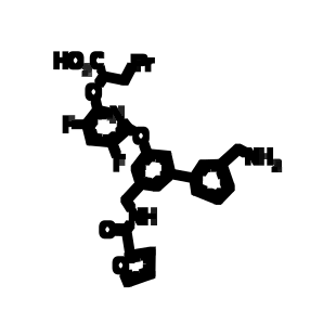 CC(C)C[C@@H](Oc1nc(Oc2cc(CNC(=O)c3ccco3)cc(-c3cccc(CN)c3)c2)c(F)cc1F)C(=O)O